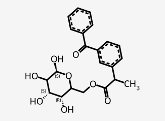 CC(C(=O)OCC1O[C@H](O)C(O)[C@@H](O)[C@H]1O)c1cccc(C(=O)c2ccccc2)c1